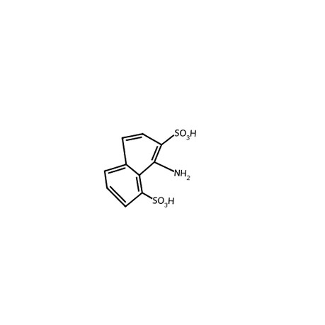 Nc1c(S(=O)(=O)O)ccc2cccc(S(=O)(=O)O)c12